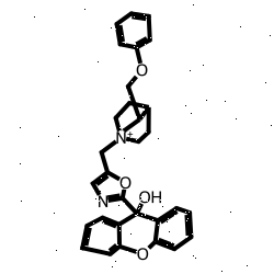 OC1(c2ncc(C[N+]34CCC(CC3)C(COc3ccccc3)C4)o2)c2ccccc2Oc2ccccc21